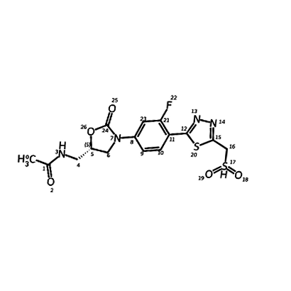 CC(=O)NC[C@H]1CN(c2ccc(-c3nnc(C[SH](=O)=O)s3)c(F)c2)C(=O)O1